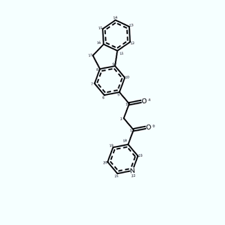 O=C(CC(=O)c1ccc2c(c1)-c1ccccc1C2)c1cccnc1